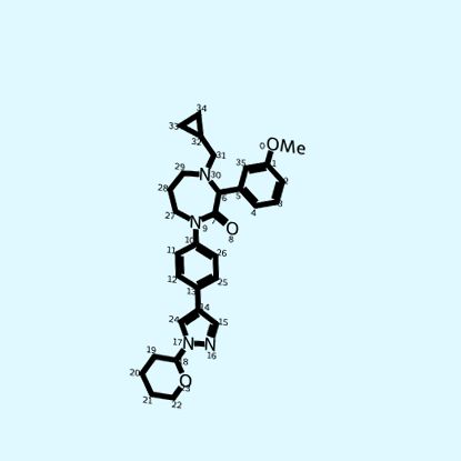 COc1cccc(C2C(=O)N(c3ccc(-c4cnn(C5CCCCO5)c4)cc3)CCCN2CC2CC2)c1